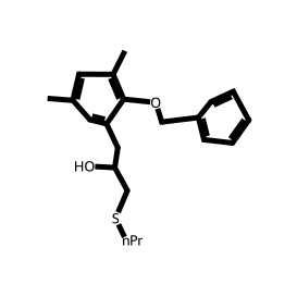 CCCSCC(O)Cc1cc(C)cc(C)c1OCc1ccccc1